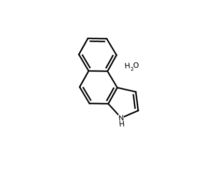 O.c1ccc2c(c1)ccc1[nH]ccc12